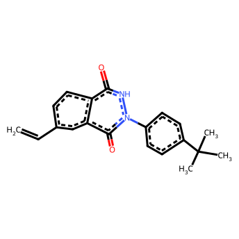 C=Cc1ccc2c(=O)[nH]n(-c3ccc(C(C)(C)C)cc3)c(=O)c2c1